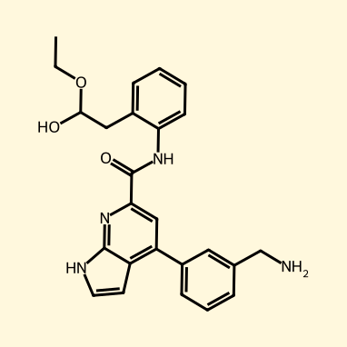 CCOC(O)Cc1ccccc1NC(=O)c1cc(-c2cccc(CN)c2)c2cc[nH]c2n1